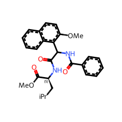 COC(=O)[C@H](CC(C)C)NC(=O)C(NC(=O)c1ccccc1)c1c(OC)ccc2ccccc12